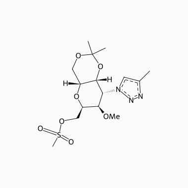 CO[C@@H]1[C@@H](n2cc(C)nn2)[C@H]2OC(C)(C)OC[C@H]2O[C@@H]1COS(C)(=O)=O